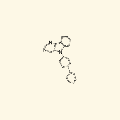 c1ccc(-c2ccc(-n3c4ccccc4c4ncncc43)cc2)cc1